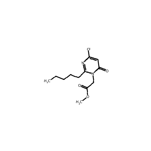 CCCCCc1nc(Cl)cc(=O)n1CC(=O)OC